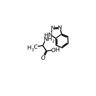 CC(N)C(=O)O.c1ccc2[nH]nnc2c1